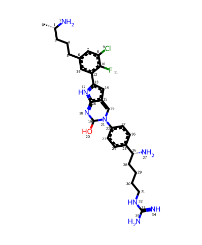 C[C@H](N)CCCc1cc(Cl)c(F)c(-c2cc3c([nH]2)=NC(O)N(c2ccc([C@H](N)CCCCNC(=N)N)cc2)C=3)c1